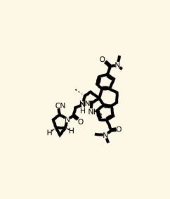 C[C@H](CC1(C(=N)N)c2ccc(C(=O)N(C)C)cc2CCc2cc(C(=O)N(C)C)ccc21)NCC(=O)N1C(C#N)C[C@@H]2C[C@@H]21